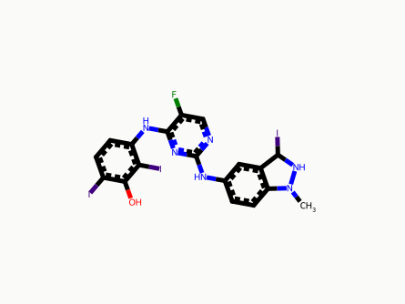 CN1NC(I)c2cc(Nc3ncc(F)c(Nc4ccc(I)c(O)c4I)n3)ccc21